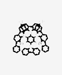 Cc1ccc2c(c1)c1ccc3c4ccccc4oc3c1n2-c1c(C#N)c(-n2c3ccccc3c3ccccc32)c(C#N)c(-n2c3ccc(C)cc3c3ccc4c5ccccc5oc4c32)c1-n1c2ccccc2c2ccccc21